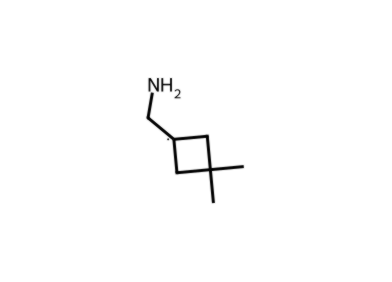 CC1(C)C[C](CN)C1